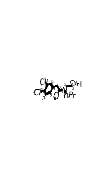 CCCN(CCO)C(=O)Cc1ccc(Cl)c(Cl)c1